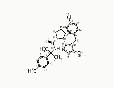 Cc1ccc(C(C)(C)NC(=O)N2CCC[C@@H]2c2nnc(C)n2Cc2ccc(Cl)cc2)cc1